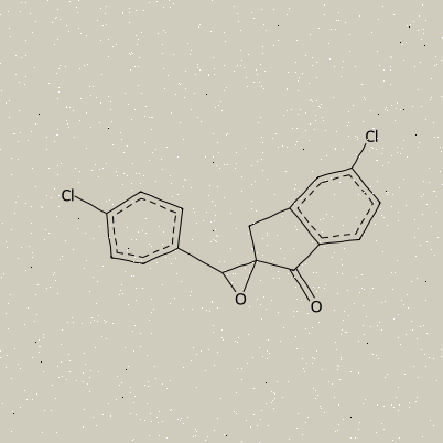 O=C1c2ccc(Cl)cc2CC12OC2c1ccc(Cl)cc1